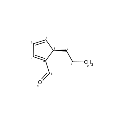 CCC[C@@H]1C=CC=C1C=O